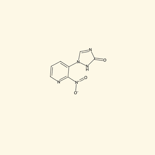 O=c1ncn(-c2cccnc2[N+](=O)[O-])[nH]1